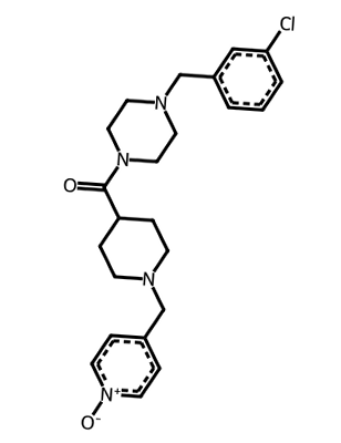 O=C(C1CCN(Cc2cc[n+]([O-])cc2)CC1)N1CCN(Cc2cccc(Cl)c2)CC1